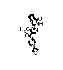 Cc1c(C(=O)N2CCN(C3COC3)CC2)cnn1-c1nn2cccc2c(=O)[nH]1